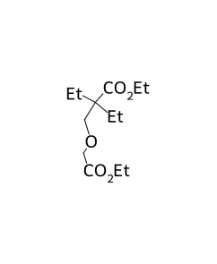 CCOC(=O)COCC(CC)(CC)C(=O)OCC